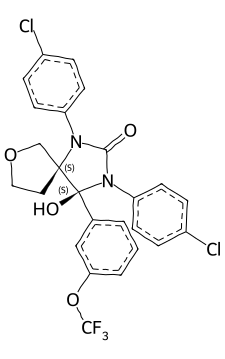 O=C1N(c2ccc(Cl)cc2)[C@]2(CCOC2)[C@@](O)(c2cccc(OC(F)(F)F)c2)N1c1ccc(Cl)cc1